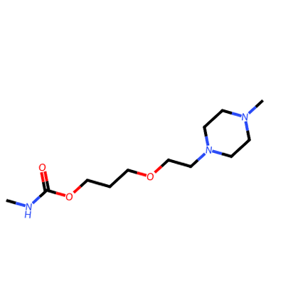 CNC(=O)OCCCOCCN1CCN(C)CC1